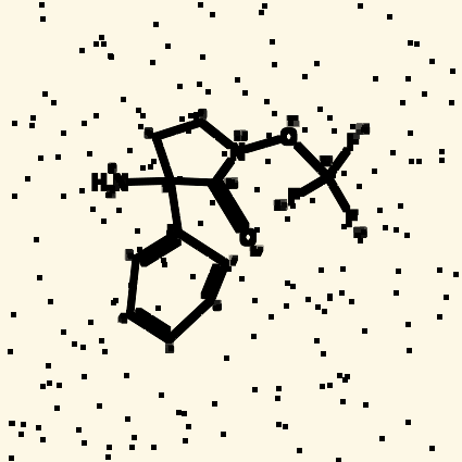 NC1(c2ccccc2)CCN(OC(F)(F)F)C1=O